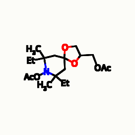 CCC1(C)CC2(CC(C)(CC)N1OC(C)=O)OCC(COC(C)=O)O2